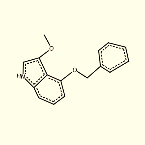 COc1c[nH]c2cccc(OCc3ccccc3)c12